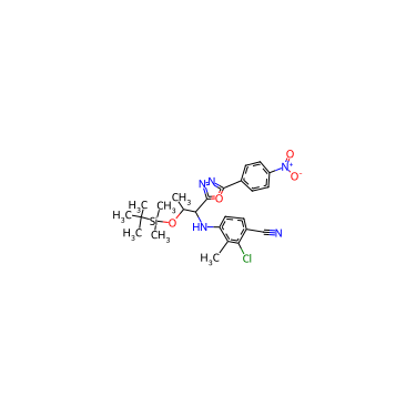 Cc1c(NC(c2nnc(-c3ccc([N+](=O)[O-])cc3)o2)C(C)O[Si](C)(C)C(C)(C)C)ccc(C#N)c1Cl